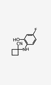 N#CC1(Nc2ccc(F)cc2O)CCC1